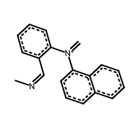 C=[N+](c1ccccc1/C=N\C)c1cccc2ccccc12